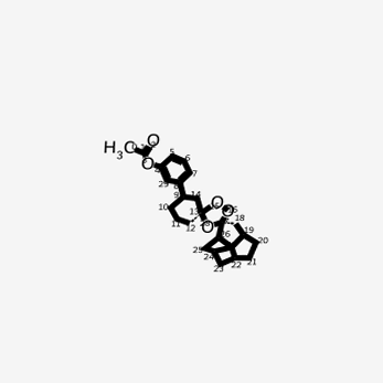 CC(=O)Oc1cccc(C2CCC[C@]3(C2)OO[C@]2(CC4CCC5CC6CC2C564)O3)c1